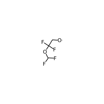 [O]CC(F)(F)OC(F)F